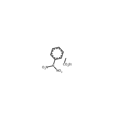 CCOC(C)=O.O=[N+]([O-])N(c1ccccc1)[N+](=O)[O-]